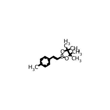 Cc1ccc(C=CB2OC(C)(C)C(C)(C)O2)cc1